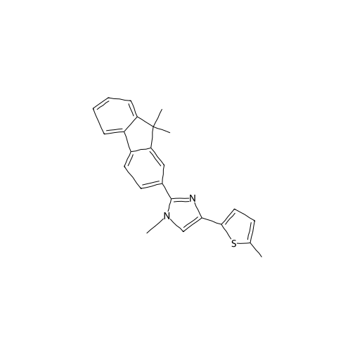 Cc1ccc(-c2cn(C)c(-c3ccc4c(c3)C(C)(C)c3ccccc3-4)n2)s1